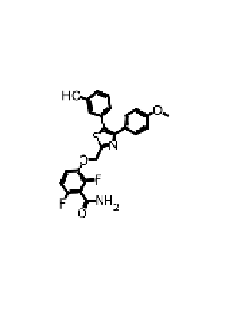 COc1ccc(-c2nc(COc3ccc(F)c(C(N)=O)c3F)sc2-c2cccc(O)c2)cc1